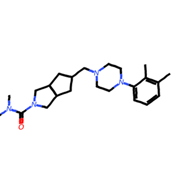 Cc1cccc(N2CCN(CC3CC4CN(C(=O)N(C)C)CC4C3)CC2)c1C